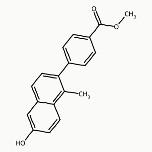 COC(=O)c1ccc(-c2ccc3cc(O)ccc3c2C)cc1